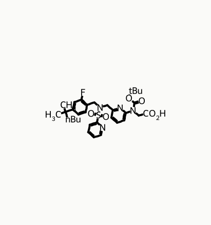 CCCCC(C)(C)c1ccc(CN(Cc2cccc(N(CC(=O)O)C(=O)OC(C)(C)C)n2)S(=O)(=O)c2ccccn2)c(F)c1